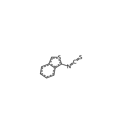 S=C=Nc1scc2ccccc12